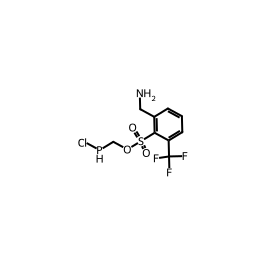 NCc1cccc(C(F)(F)F)c1S(=O)(=O)OCPCl